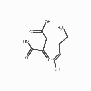 C=C(CC(=O)O)C(=O)O.CCCC=CO